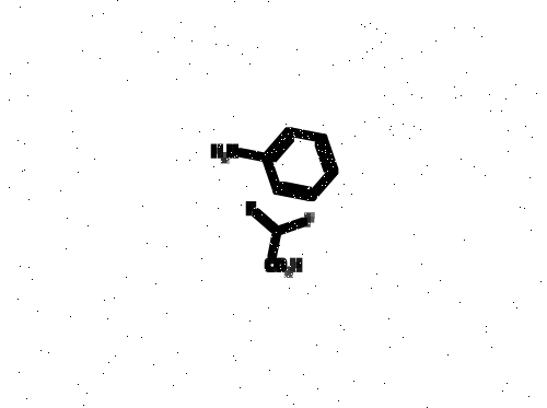 Nc1ccccc1.O=C(O)C(F)F